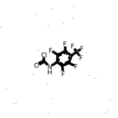 O=C(Cl)Nc1c(F)c(F)c(C(F)(F)F)c(F)c1F